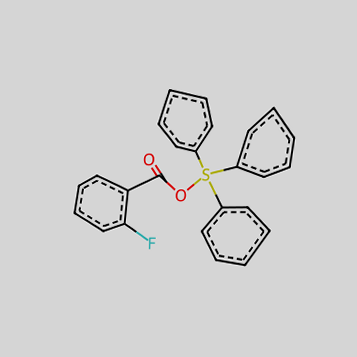 O=C(OS(c1ccccc1)(c1ccccc1)c1ccccc1)c1ccccc1F